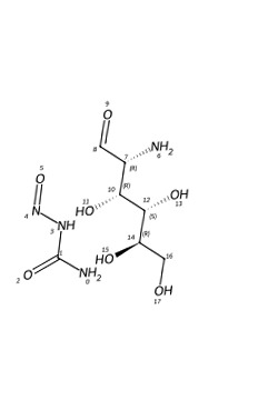 NC(=O)NN=O.N[C@@H](C=O)[C@@H](O)[C@H](O)[C@H](O)CO